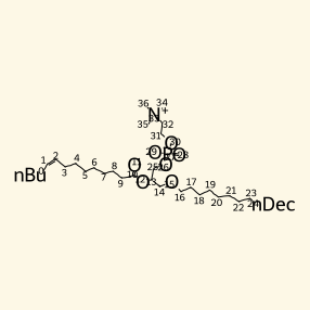 CCCC/C=C\CCCCCCCC(=O)O[C@H](COCCCCCCCCCCCCCCCCCC)COP(=O)([O-])OCC[N+](C)(C)C